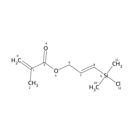 C=C(C)C(=O)OCC=C[Si](C)(C)Cl